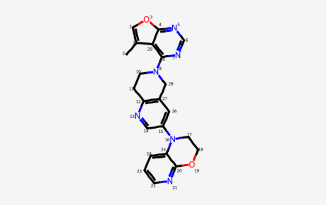 Cc1coc2ncnc(N3CCc4ncc(N5CCOc6ncccc65)cc4C3)c12